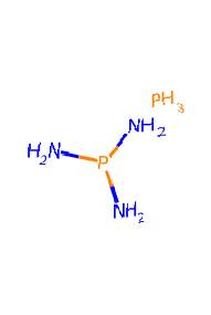 NP(N)N.P